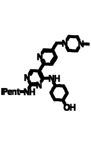 CCCC(C)Nc1ncc(-c2ccc(CN3CCN(C)CC3)cn2)c(NC2CCC(O)CC2)n1